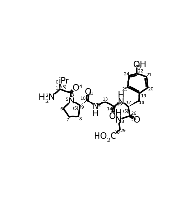 CC(C)[C@H](N)C(=O)N1CCC[C@H]1C(=O)NCC(=O)N[C@@H](Cc1ccc(O)cc1)C(=O)NCC(=O)O